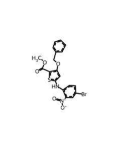 COC(=O)c1sc(Nc2ccc(Br)cc2[N+](=O)[O-])cc1OCc1ccccc1